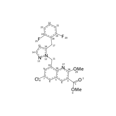 COC(=O)c1cc2cc(Cl)cc(Cn3nccc3Cc3c(F)cccc3F)c2nc1OC